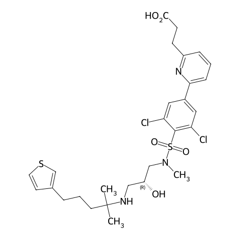 CN(C[C@H](O)CNC(C)(C)CCCc1ccsc1)S(=O)(=O)c1c(Cl)cc(-c2cccc(CCC(=O)O)n2)cc1Cl